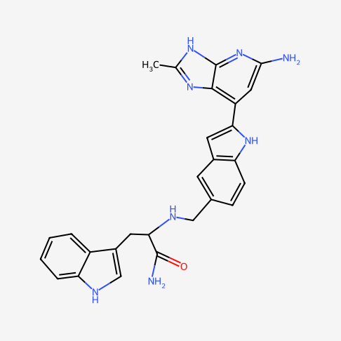 Cc1nc2c(-c3cc4cc(CNC(Cc5c[nH]c6ccccc56)C(N)=O)ccc4[nH]3)cc(N)nc2[nH]1